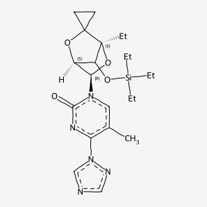 CC[C@@]12O[C@@H](n3cc(C)c(-n4cncn4)nc3=O)[C@@H](OC13CC3)C2O[Si](CC)(CC)CC